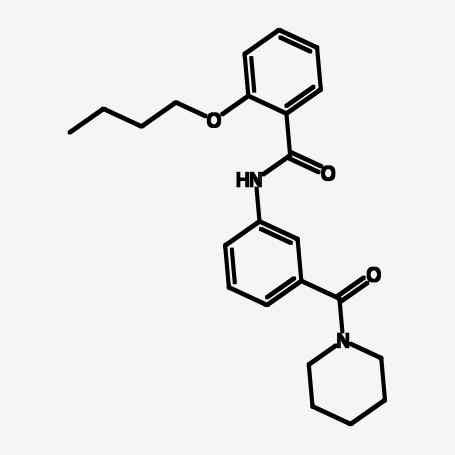 CCCCOc1ccccc1C(=O)Nc1cccc(C(=O)N2CCCCC2)c1